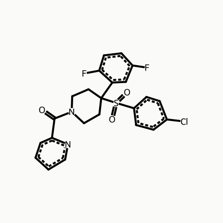 O=C(c1ccccn1)N1CCC(c2cc(F)ccc2F)(S(=O)(=O)c2ccc(Cl)cc2)CC1